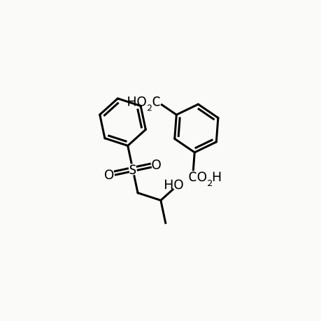 CC(O)CS(=O)(=O)c1ccccc1.O=C(O)c1cccc(C(=O)O)c1